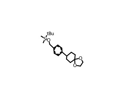 CC(C)(C)[Si](C)(C)OCc1ccc(C2CCC3(CC2)OCCO3)cc1